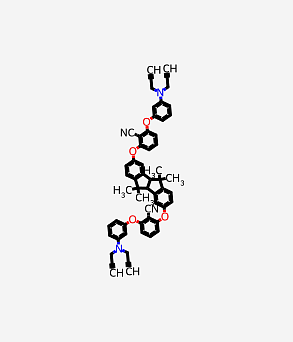 C#CCN(CC#C)c1cccc(Oc2cccc(Oc3ccc4c(c3)C3C(c5cc(Oc6cccc(Oc7cccc(N(CC#C)CC#C)c7)c6C#N)ccc5C3(C)C)C4(C)C)c2C#N)c1